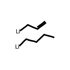 [Li][CH2]C=C.[Li][CH2]CCC